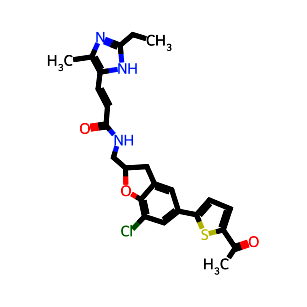 CCc1nc(C)c(C=CC(=O)NCC2Cc3cc(-c4ccc(C(C)=O)s4)cc(Cl)c3O2)[nH]1